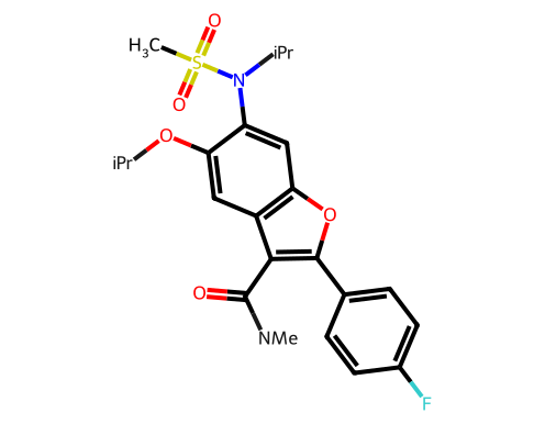 CNC(=O)c1c(-c2ccc(F)cc2)oc2cc(N(C(C)C)S(C)(=O)=O)c(OC(C)C)cc12